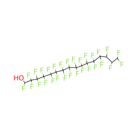 OC(F)C(F)(F)C(F)(F)C(F)(F)C(F)(F)C(F)(F)C(F)(F)C(F)(F)C(F)(F)C(F)(F)C(F)(F)C(F)(F)C(F)(F)C(F)C(F)C(F)F